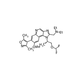 CCN(CC)Cc1nc2cnc3cc(-c4c(C)noc4C)c(OC)cc3c2n1[C@H](C)COC(F)F